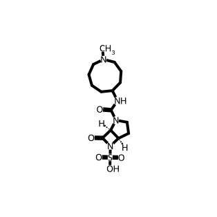 CN1CCCCC(NC(=O)N2CC[C@@H]3[C@H]2C(=O)N3S(=O)(=O)O)CCC1